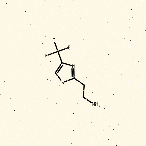 NCCc1nc(C(F)(F)F)cs1